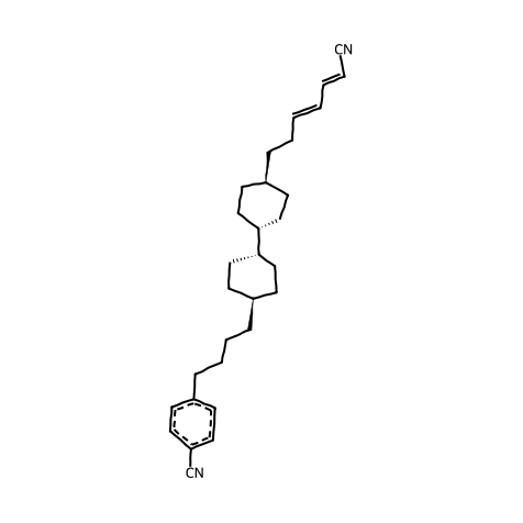 N#CC=CC=CCC[C@H]1CC[C@H]([C@H]2CC[C@H](CCCCc3ccc(C#N)cc3)CC2)CC1